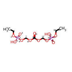 CCOP(=O)(O)OCOC(=O)OCOP(=O)(O)OCC